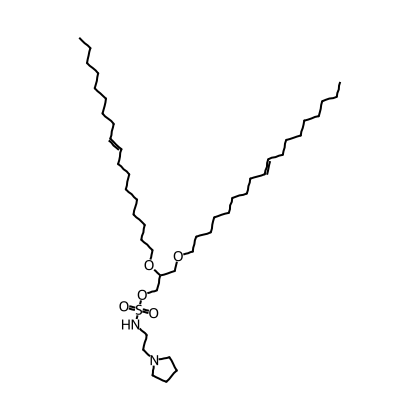 CCCCCCCCC=CCCCCCCCCOCC(COS(=O)(=O)NCCN1CCCC1)OCCCCCCCCC=CCCCCCCCC